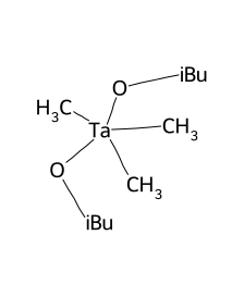 CCC(C)[O][Ta]([CH3])([CH3])([CH3])[O]C(C)CC